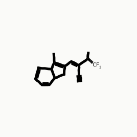 C#C/C(=C\C1=C(C)C2C=CC=CC2C1)C(C)C(F)(F)F